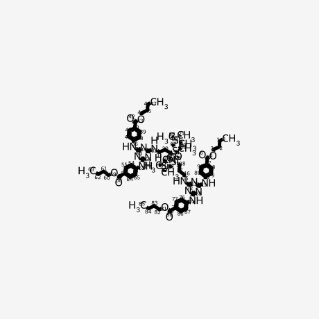 CCCCOC(=O)c1ccc(Nc2nc(NCCC[Si](C)(C[Si](C)(C)C)O[Si](C)(CCCNc3nc(Nc4ccc(C(=O)OCCCC)cc4)nc(Nc4ccc(C(=O)OCCCC)cc4)n3)C[Si](C)(C)C)nc(Nc3ccc(C(=O)OCCCC)cc3)n2)cc1